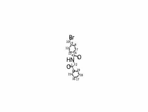 O=C(CNC(=O)c1ccc(CBr)cc1)c1ccccc1